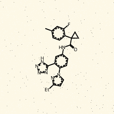 CCc1ccn(-c2ccc(NC(=O)C3(c4ccc(C)cc4F)CC3)cc2-c2nnn[nH]2)n1